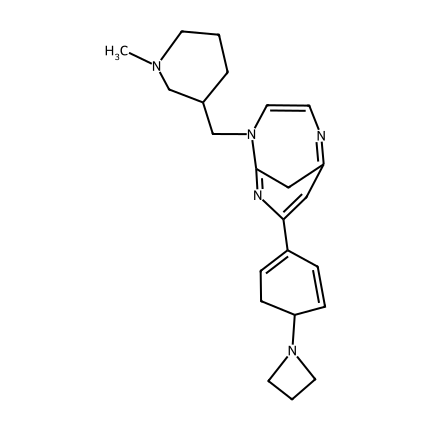 CN1CCCC(CN2C=CN=C3C=C(C4=CCC(N5CCC5)C=C4)N=C2C3)C1